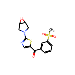 CS(=O)(=O)c1cccc(C(=O)c2cnc(N3CC4OC4C3)s2)c1